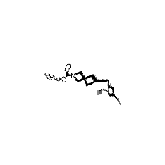 CC(C)(C)OC(=O)N1CC2(CC(=Cn3cc(I)cn3)C2)C1